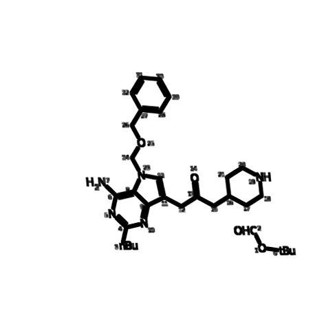 CC(C)(C)OC=O.CCCCc1nc(N)c2c(n1)c(CC(=O)CC1CCNCC1)cn2COCc1ccccc1